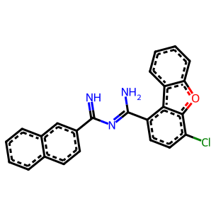 N=C(/N=C(\N)c1ccc(Cl)c2oc3ccccc3c12)c1ccc2ccccc2c1